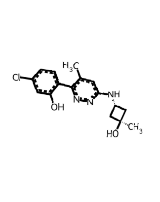 Cc1cc(N[C@H]2C[C@](C)(O)C2)nnc1-c1ccc(Cl)cc1O